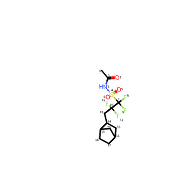 CC(=O)NS(=O)(=O)C(F)(F)C(F)(F)CC1CC2CCC1C2